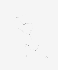 COC(=O)[C@@H](NCc1ccc(B(O)O)cc1)C(C)C